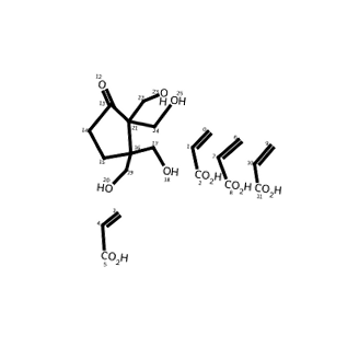 C=CC(=O)O.C=CC(=O)O.C=CC(=O)O.C=CC(=O)O.O=C1CCC(CO)(CO)C1(CO)CO